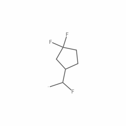 [CH2]C(F)C1CCC(F)(F)C1